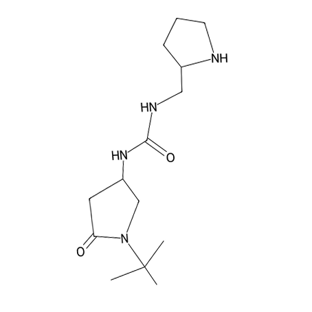 CC(C)(C)N1CC(NC(=O)NCC2CCCN2)CC1=O